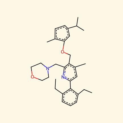 CCc1cccc(CC)c1-c1cc(C)c(COc2cc(C(C)C)ccc2C)c(CN2CCOCC2)n1